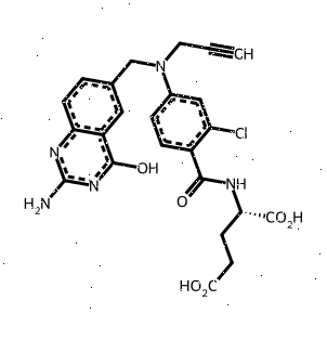 C#CCN(Cc1ccc2nc(N)nc(O)c2c1)c1ccc(C(=O)N[C@@H](CCC(=O)O)C(=O)O)c(Cl)c1